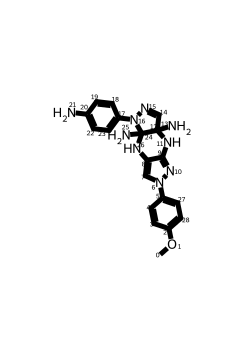 COc1ccc(-n2cc3c(n2)NC2(N)C=NN(c4ccc(N)cc4)C2(N)N3)cc1